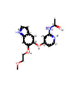 COCCOc1cc2[nH]ccc2cc1Oc1ccnc(NC(C)=O)c1